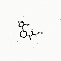 CN(C(=O)OC(C)(C)C)[C@@H]1CCCN(c2nocc2Br)C1